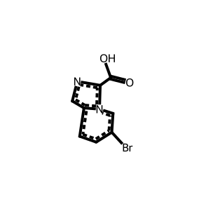 O=C(O)c1ncc2ccc(Br)cn12